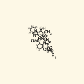 COc1cccc(OC)c1-n1c(NS(=O)(=O)[C@@H](C)[C@@H](O)c2cnc3ccccn23)nnc1-c1ccc(C)o1